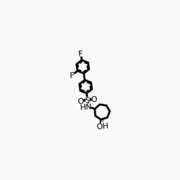 O=S(=O)(NC1CCCC[C@@H](O)C1)c1ccc(-c2ccc(F)cc2F)cc1